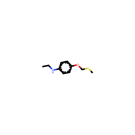 CCNc1ccc(OCSC)cc1